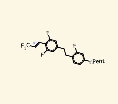 CCCCCc1ccc(CCc2cc(F)c(/C=C/C(F)(F)F)c(F)c2)c(F)c1